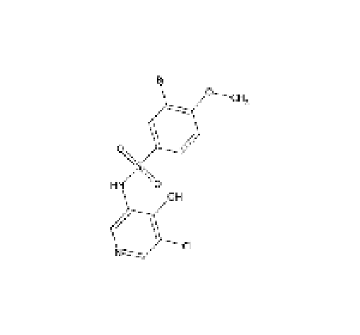 COc1ccc(S(=O)(=O)Nc2cncc(Cl)c2O)cc1Br